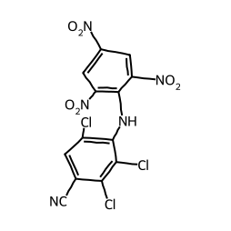 N#Cc1cc(Cl)c(Nc2c([N+](=O)[O-])cc([N+](=O)[O-])cc2[N+](=O)[O-])c(Cl)c1Cl